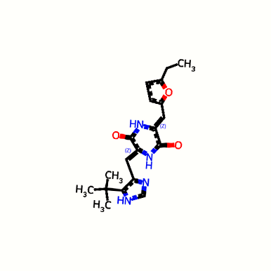 CCc1ccc(/C=c2\[nH]c(=O)/c(=C/c3nc[nH]c3C(C)(C)C)[nH]c2=O)o1